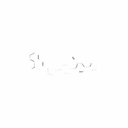 CNC(=O)c1ccc(N2CCC(N3CCC(c4cc5cccc(F)c5c(=O)[nH]4)C3)CC2)c(C#N)c1